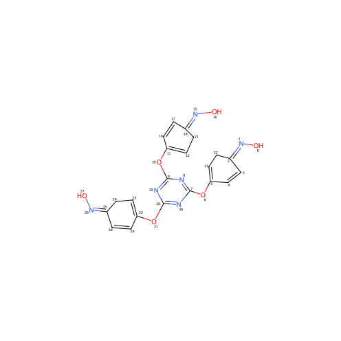 ON=C1C=CC(Oc2nc(OC3=CCC(=NO)C=C3)nc(OC3=CCC(=NO)C=C3)n2)=CC1